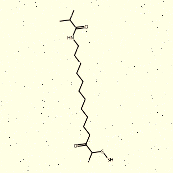 CC(C)C(=O)NCCCCCCCCCCCC(=O)C(C)SS